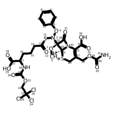 CO[C@@]1(N(Oc2ccccc2)SC(=O)CCCC(NC(=O)OCC(Cl)(Cl)Cl)C(=O)O)C(=O)N2C(C(=O)O)=C(COC(N)=O)CS[C@H]21